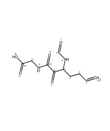 C=CCCC(NC=O)C(=O)C(=O)NCC(=O)O